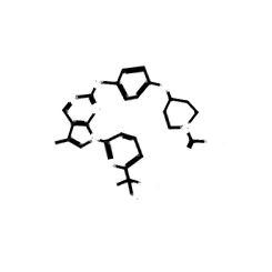 CC(=O)N1CCC(Oc2ccc(Nc3ncc4c(F)cn(-c5cccc(C(C)(C)O)n5)c4n3)cc2)CC1